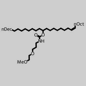 CCCCCCCC/C=C\CCCCCCCC(CCCCCCCCCCCCCCCCCC)OC(=O)NCCCOCCOC